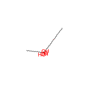 CCCCCCCCCCCCCCCCCCCCCCCCCCCCC(O)(C(=O)O)C(O)CCCCCCCCCCCCCCC